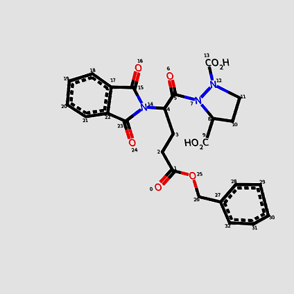 O=C(CCC(C(=O)N1C(C(=O)O)CCN1C(=O)O)N1C(=O)c2ccccc2C1=O)OCc1ccccc1